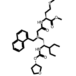 CCC(CC)[C@@H](CN(CC(=O)N[C@@H](CCSC)C(=O)OC)Cc1cccc2ccccc12)NC(=O)O[C@H]1CCOC1